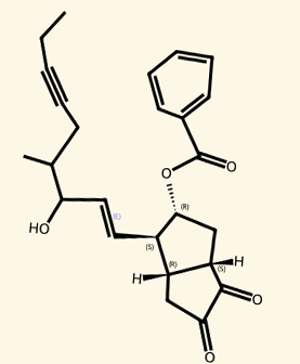 CCC#CCC(C)C(O)/C=C/[C@@H]1[C@H]2CC(=O)C(=O)[C@H]2C[C@H]1OC(=O)c1ccccc1